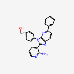 Nc1ncccc1-c1nc2ccc(-c3ccccc3)nc2n1-c1ccc(CO)cc1